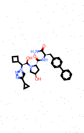 NC(=O)[C@@H](Cc1ccc(-c2ccccc2)cc1)NC(=O)[C@@H]1C[C@@H](O)CN1C(O)[C@H](C1CCC1)n1cc(C2CC2)nn1